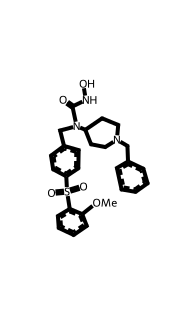 COc1ccccc1S(=O)(=O)c1ccc(CN(C(=O)NO)C2CCN(Cc3ccccc3)CC2)cc1